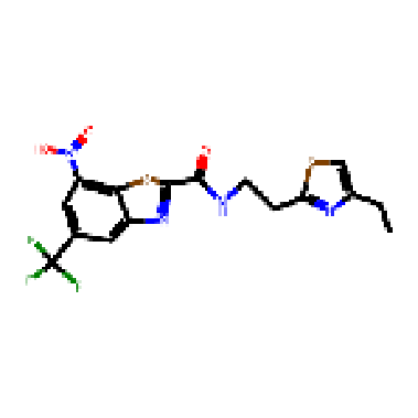 CCc1csc(CCNC(=O)c2nc3cc(C(F)(F)F)cc([N+](=O)O)c3s2)n1